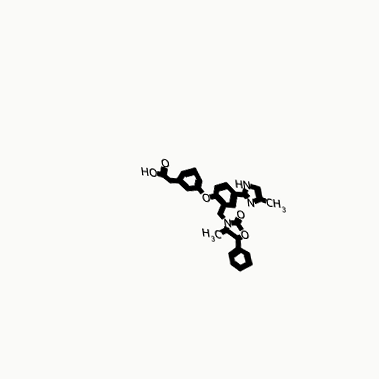 Cc1c[nH]c(-c2ccc(Oc3cccc(CC(=O)O)c3)c(CN3C(=O)OC(c4ccccc4)C3C)c2)n1